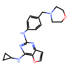 c1cc2nc(Nc3ccc(CN4CCOCC4)cc3)nc(NC3CC3)c2o1